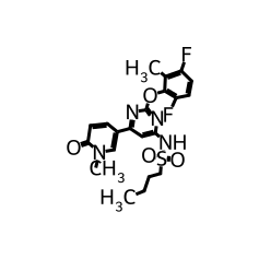 CCCCS(=O)(=O)Nc1cc(-c2ccc(=O)n(C)c2)nc(Oc2c(F)ccc(F)c2C)n1